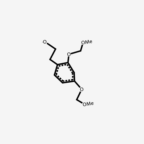 COCOc1ccc(CC[O])c(OCOC)c1